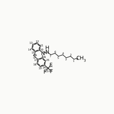 CCCCCCCCNN1c2ccccc2Sc2ccc(C(F)(F)F)cc21